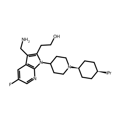 CC(C)[C@H]1CC[C@@H](N2CCC(n3c(CCO)c(CN)c4cc(F)cnc43)CC2)CC1